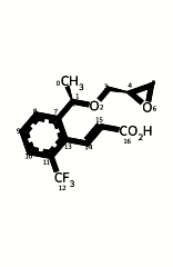 C[C@@H](OC[C@H]1CO1)c1cccc(C(F)(F)F)c1C=CC(=O)O